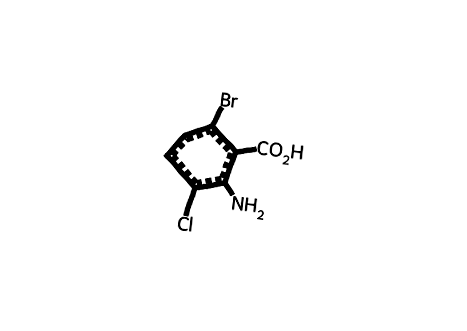 Nc1c(Cl)ccc(Br)c1C(=O)O